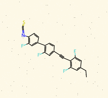 CCc1cc(F)c(C#Cc2ccc(-c3ccc(N=C=S)c(F)c3)c(F)c2)c(F)c1